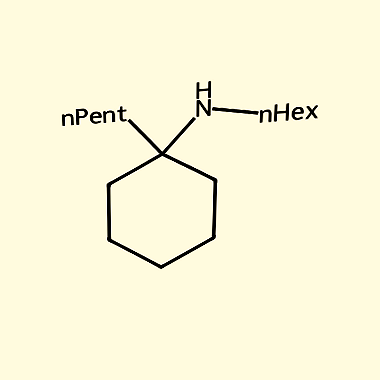 CCCCCCNC1(CCCCC)CCCCC1